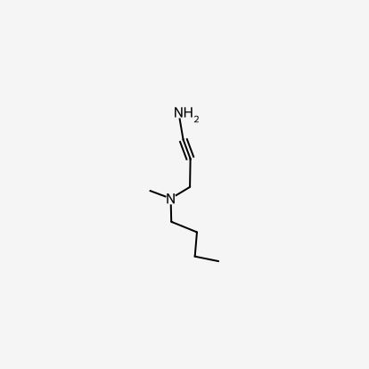 CCCCN(C)CC#CN